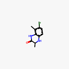 Cc1c(Br)ccc2c1NC(=O)C(C)N2